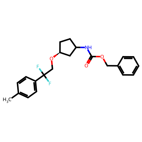 Cc1ccc(C(F)(F)CO[C@H]2CCC(NC(=O)OCc3ccccc3)C2)cc1